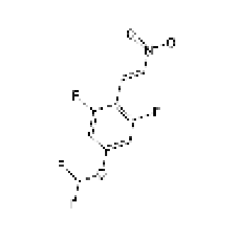 O=[N+]([O-])/C=C/c1c(F)cc(OC(F)F)cc1F